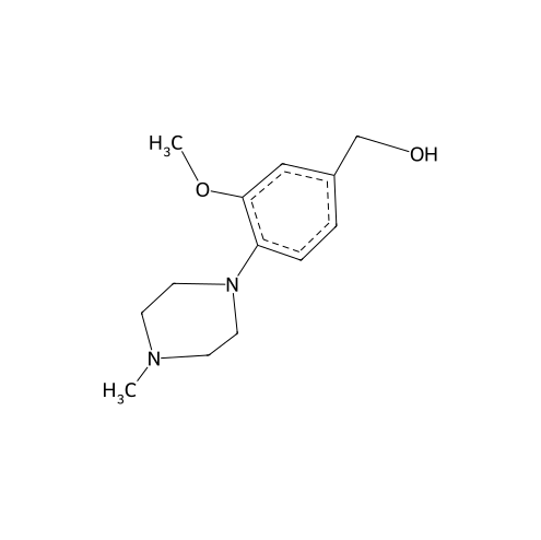 COc1cc(CO)ccc1N1CCN(C)CC1